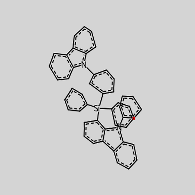 c1ccc(-n2c3ccccc3c3cccc([Si](c4ccccc4)(c4ccccc4)c4cccc(-n5c6ccccc6c6ccccc65)c4)c32)cc1